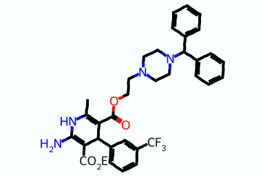 CCOC(=O)C1=C(N)NC(C)=C(C(=O)OCCN2CCN(C(c3ccccc3)c3ccccc3)CC2)C1c1cccc(C(F)(F)F)c1